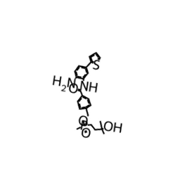 CC(C)(O)CCP(C)(=O)OCc1ccc(C(=O)Nc2cc(-c3cccs3)ccc2N)cc1